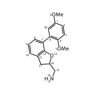 COc1ccc(OC)c(-c2cccc3c2OC(CN)C3)c1